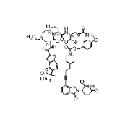 CCN1CC[C@H]2CC[C@@H](C(=O)N[C@@H](COC(N)=O)C(=O)N[C@@H](Cc3ccc(Cl)cc3)C(=O)N3CCC(CCC#Cc4cccc5c4CN(C4CCC(=O)NC4=O)C5=O)CC3)N2C(=O)[C@@H](NC(=O)c2cc3cc(C(F)(F)P(=O)(O)O)ccc3s2)C1